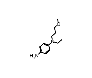 CCN(CCCOC)c1ccc(N)cc1